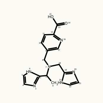 CC(c1ncc[nH]1)N(Cc1ccc(C(=O)O)nc1)Cc1ncc[nH]1